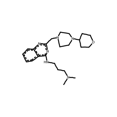 CN(C)CCCNc1nc(CN2CCN(C3CCOCC3)CC2)nc2ccccc12